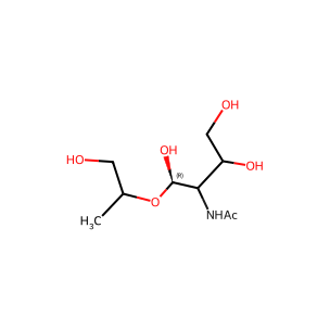 CC(=O)NC(C(O)CO)[C@H](O)OC(C)CO